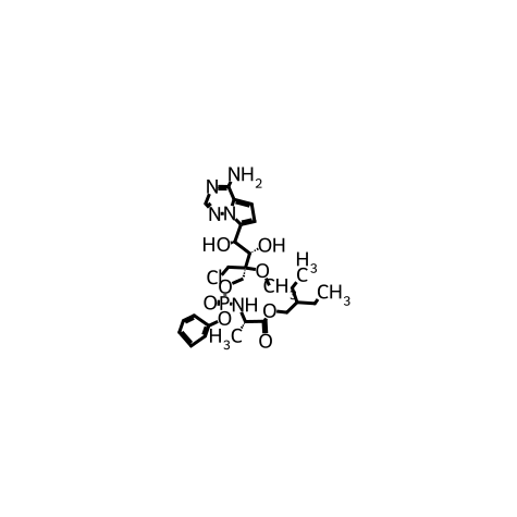 CCC(CC)COC(=O)[C@H](C)NP(=O)(OC[C@@](CCl)(OC)[C@@H](O)[C@@H](O)c1ccc2c(N)ncnn12)Oc1ccccc1